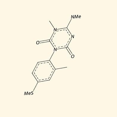 CNc1nc(=O)n(-c2ccc(SC)cc2C)c(=O)n1C